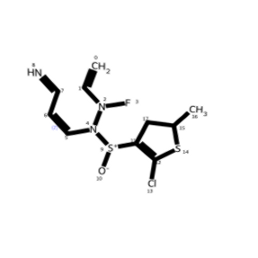 C=CN(F)N(/C=C\C=N)[S+]([O-])C1=C(Cl)SC(C)C1